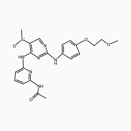 COCCOc1ccc(Nc2ncc([S+](C)[O-])c(Nc3cccc(NC(C)=O)n3)n2)cc1